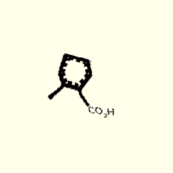 Cc1cc[c]cc1C(=O)O